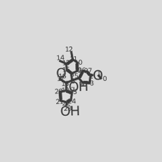 COc1ccc(C2(O)c3ccc(C)c(C)c3OCC2c2ccc(O)cc2)cc1